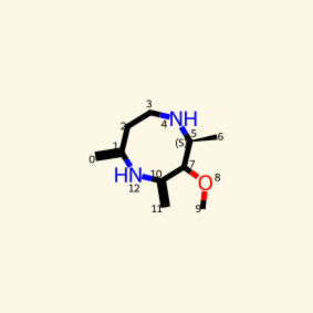 C=C1CCN[C@@H](C)C(OC)C(=C)N1